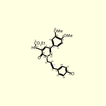 CCOC(=O)Nc1cc(-c2ccc(OC)c(OC)c2)nn(C/C=C/c2ccc(Cl)cc2)c1=O